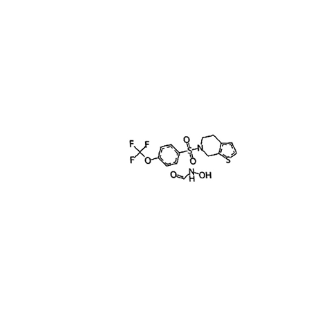 O=CNO.O=S(=O)(c1ccc(OC(F)(F)F)cc1)N1CCc2ccsc2C1